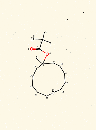 CCC(C)(C)C(=O)OC1(C)CCCCCCCCCCC1